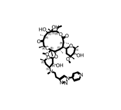 CC[C@H]1OC(=O)[C@H](C)[C@@H](C2C[C@@](C)(OC)[C@@H](O)[C@H](C)O2)[C@H](C)[C@@H](O[C@@H]2O[C@H](C)C[C@H](N(C)CCc3cn(-c4ccncc4)nn3)[C@H]2O)[C@](C)(OC)C[C@@H](C)C(=O)[C@H](C)[C@@H](O)[C@]1(C)O